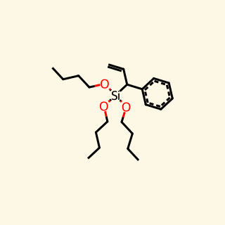 C=CC(c1ccccc1)[Si](OCCCC)(OCCCC)OCCCC